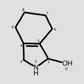 OC1NCC2=C1CCCC2